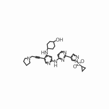 O=S(=O)(C1CC1)n1cc(-c2nccc(Nc3cc(NC4CCC(O)CC4)c(C#CCN4CCCC4)cn3)n2)cn1